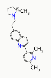 Cc1ccc(-c2ccc3cc(CCN4CCC[C@H]4C)ccc3n2)c(C)n1